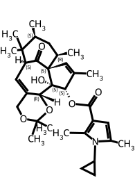 CC1=C[C@]23C(=O)[C@@H](C=C4COC(C)(C)O[C@H]4[C@]2(O)[C@H]1OC(=O)c1cc(C)n(C2CC2)c1C)C(C)(C)[C@@H](C)C[C@H]3C